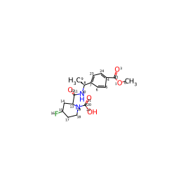 COC(=O)c1ccc([C@H](C)NC(=O)C2CC(F)CCN2C(=O)O)cc1